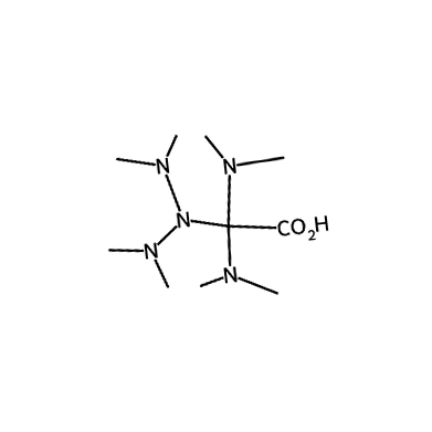 CN(C)N(N(C)C)C(C(=O)O)(N(C)C)N(C)C